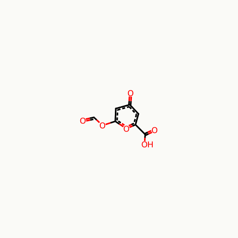 O=COc1cc(=O)cc(C(=O)O)o1